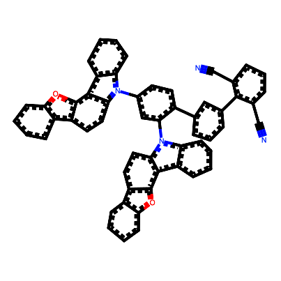 N#Cc1cccc(C#N)c1-c1cccc(-c2ccc(-n3c4ccccc4c4c5oc6ccccc6c5ccc43)cc2-n2c3ccccc3c3c4oc5ccccc5c4ccc32)c1